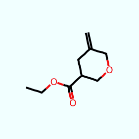 C=C1COCC(C(=O)OCC)C1